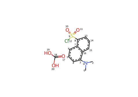 CN(C)c1cccc2c(S(=O)(=O)Cl)cccc12.O=C(O)O